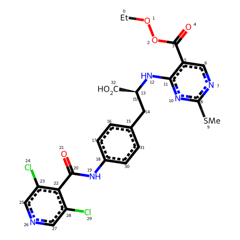 CCOOC(=O)c1cnc(SC)nc1N[C@@H](Cc1ccc(NC(=O)c2c(Cl)cncc2Cl)cc1)C(=O)O